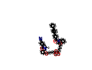 CC(C)N(Cc1ccccc1OCCCCCC(=O)OC(=O)CCCCCOc1ccccc1CN(C(=O)c1ccc(C23CCC(c4ccccc4)(CC2)CC3)cc1)C(C)C)C(=O)c1ccc(C#N)cc1